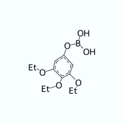 CCOc1cc(OB(O)O)cc(OCC)c1OCC